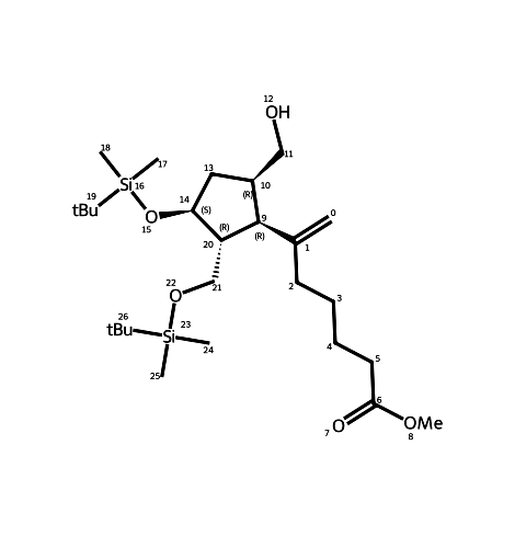 C=C(CCCCC(=O)OC)[C@@H]1[C@H](CO)C[C@H](O[Si](C)(C)C(C)(C)C)[C@H]1CO[Si](C)(C)C(C)(C)C